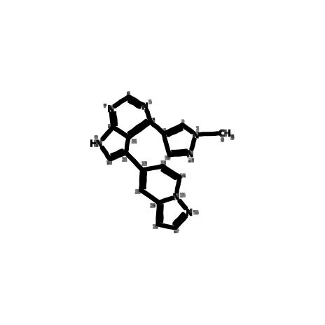 Cn1cc(-c2ncnc3[nH]cc(-c4ccn5nccc5c4)c23)cn1